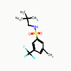 Cc1cc(C(F)(F)F)cc(S(=O)(=O)NCC(C)(C)C)c1